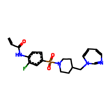 C=CC(=O)Nc1ccc(S(=O)(=O)N2CCC(CN3C=CC=CN=C3)CC2)cc1F